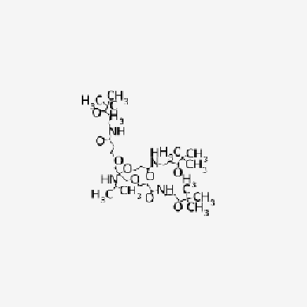 CC(C)NC(COCCC(=O)NCCC(=O)C(C)(C)C)(COCCC(=O)NCCC(=O)C(C)(C)C)OCCC(=O)NCCC(=O)C(C)(C)C